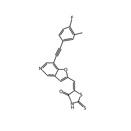 Cc1cc(C#Cc2cncc3cc(C=C4SC(=S)NC4=O)oc23)ccc1F